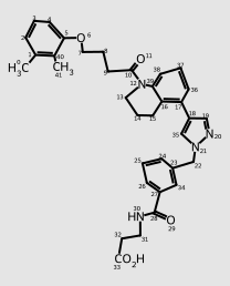 Cc1cccc(OCCCC(=O)N2CCCc3c(-c4cnn(Cc5cccc(C(=O)NCCC(=O)O)c5)c4)cccc32)c1C